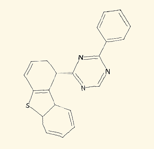 C1=CC2SC3=C(C2C=C1)[C@@H](c1ncnc(-c2ccccc2)n1)CC=C3